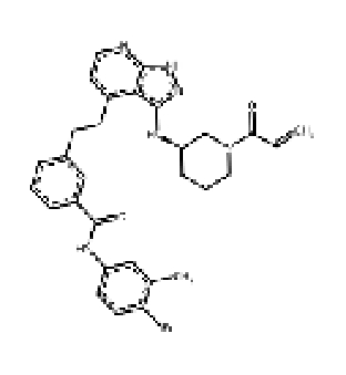 C=CC(=O)N1CCC[C@@H](Nc2n[nH]c3nccc(CCc4cccc(C(=O)Nc5ccc(C(C)C)c(C)c5)c4)c23)C1